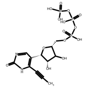 CC#Cc1[nH]c(=O)ncc1[C@@H]1O[C@H](COP(=O)(O)OP(=O)(O)OP(=O)(O)O)C(O)[C@@H]1O